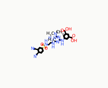 C=C(/N=C(\N=C(/N)N(C)C)Nc1cc(C(=O)O)cc(C(=O)O)c1)NCCNS(=O)(=O)c1ccc(C#N)c(C#N)c1